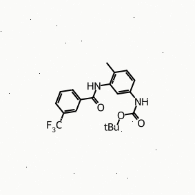 Cc1ccc(NC(=O)OC(C)(C)C)cc1NC(=O)c1cccc(C(F)(F)F)c1